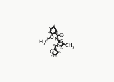 CCOc1ccccc1C(=O)/N=c1\sc(C)cn1CC1CCCO1